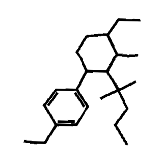 CCCC(C)(C)C1C(c2ccc(CC)cc2)CCC(CC)C1C